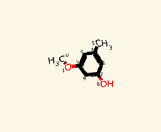 COC1=CC(C)=CC(O)C1